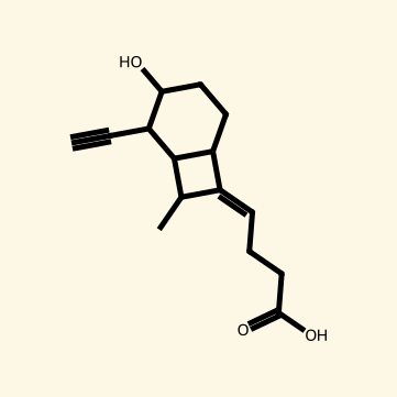 C#CC1C(O)CCC2C(=CCCC(=O)O)C(C)C21